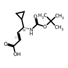 CC(C)(C)OC(=O)N[C@H](/C=C/C(=O)O)C1CC1